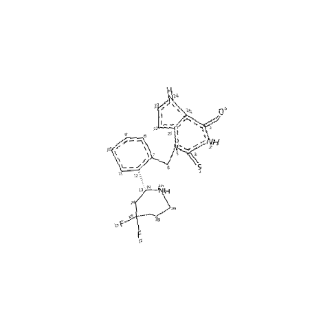 O=c1[nH]c(=S)n(Cc2ccccc2[C@H]2CC(F)(F)CCN2)c2cc[nH]c12